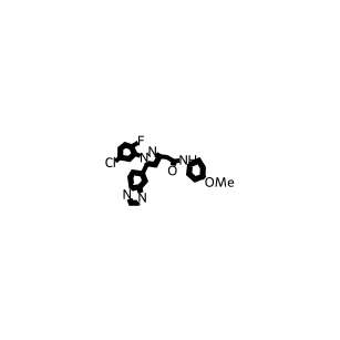 COc1ccc(NC(=O)Cc2cc(-c3ccc4nccnc4c3)n(-c3cc(Cl)ccc3F)n2)cc1